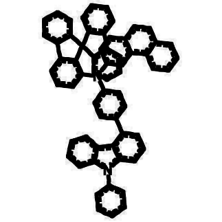 c1ccc(-n2c3ccccc3c3c(-c4ccc(N(c5ccc6ccc7ccccc7c6c5)c5cccc6c5C5(c7ccccc7-c7ccccc75)c5ccccc5-6)cc4)cccc32)cc1